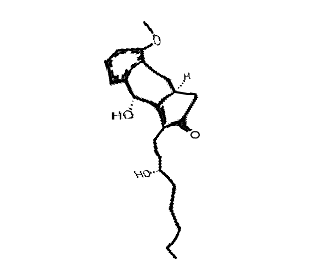 CCCCC[C@H](O)CCC1=C2[C@H](CC1=O)Cc1c(OC)cccc1[C@H]2O